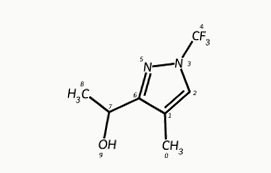 Cc1cn(C(F)(F)F)nc1C(C)O